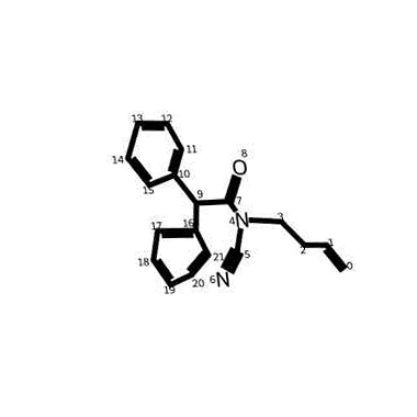 C=CCCN(C#N)C(=O)C(c1ccccc1)c1ccccc1